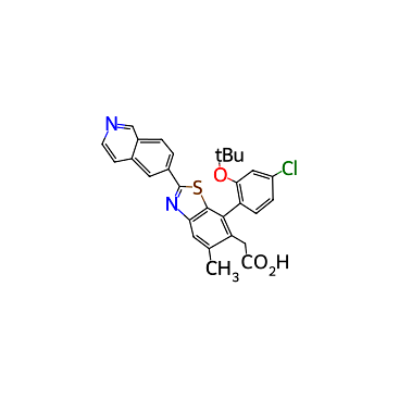 Cc1cc2nc(-c3ccc4cnccc4c3)sc2c(-c2ccc(Cl)cc2OC(C)(C)C)c1CC(=O)O